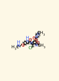 CNCCOc1ccc2[nH]c(C(=O)N3CC(CCl)c4c3cc(OC(=O)N3CCN(C)CC3)c3oc(C)nc43)cc2c1